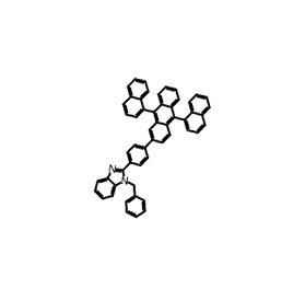 c1ccc(Cn2c(-c3ccc(-c4ccc5c(-c6cccc7ccccc67)c6ccccc6c(-c6cccc7ccccc67)c5c4)cc3)nc3ccccc32)cc1